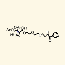 CC(=O)N/C(=C(\COC(C)=O)OC(C)=O)[C@@H](O)OCCOCCOCCNC(=O)c1ccccc1